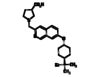 CCC(C)(C)[C@H]1CC[C@H](Oc2ccc3cc(CN4CCC(C(=O)O)C4)ncc3c2)CC1